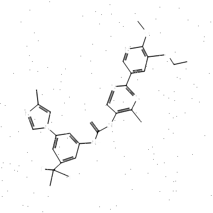 CCOc1cc(-c2ncc(NC(=O)Nc3cc(-n4cnc(C)c4)cc(C(F)(F)F)c3)c(C)n2)cnc1OC